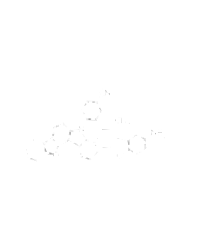 CC1C(c2cc(C#N)ccc2-n2c3ccccc3c3c4oc5c(c4ccc32)CCC=C5)CCC2Oc3ccc(N)cc3C21